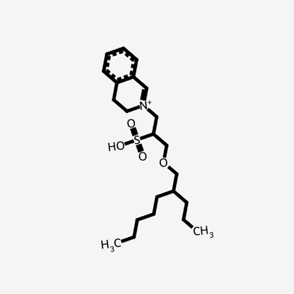 CCCCCC(CCC)COCC(C[N+]1=Cc2ccccc2CC1)S(=O)(=O)O